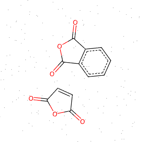 O=C1C=CC(=O)O1.O=C1OC(=O)c2ccccc21